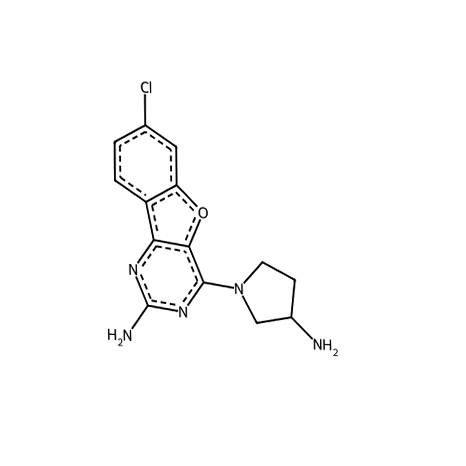 Nc1nc(N2CCC(N)C2)c2oc3cc(Cl)ccc3c2n1